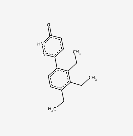 CCc1ccc(-c2ccc(=O)[nH]n2)c(CC)c1CC